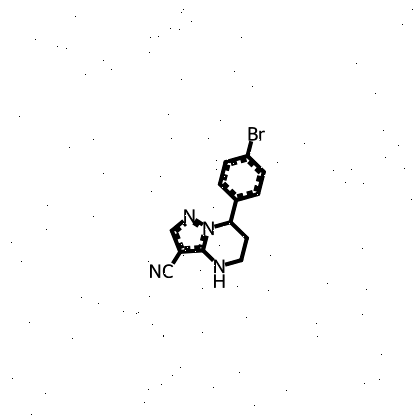 N#Cc1cnn2c1NCCC2c1ccc(Br)cc1